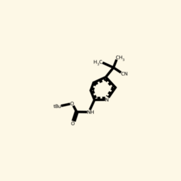 CC(C)(C)OC(=O)Nc1ccc(C(C)(C)C#N)cn1